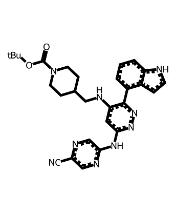 CC(C)(C)OC(=O)N1CCC(CNc2cc(Nc3cnc(C#N)cn3)nnc2-c2cccc3[nH]ccc23)CC1